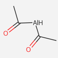 C[C](=O)[AlH][C](C)=O